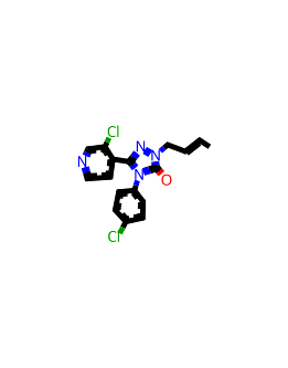 C/C=C/Cn1nc(-c2ccncc2Cl)n(-c2ccc(Cl)cc2)c1=O